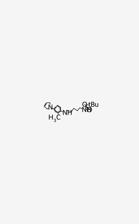 Cc1cc(N2CC=CC2)ccc1NCCCCCNS(=O)(=O)C(C)(C)C